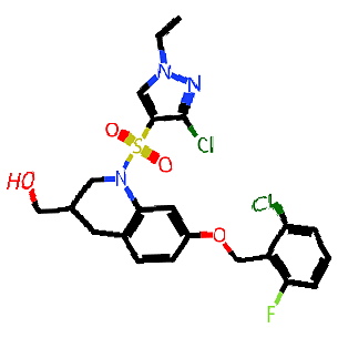 CCn1cc(S(=O)(=O)N2CC(CO)Cc3ccc(OCc4c(F)cccc4Cl)cc32)c(Cl)n1